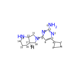 Nc1nc(C2CCC2)cc(N2CC3NCCC[C@@H]3C2)n1